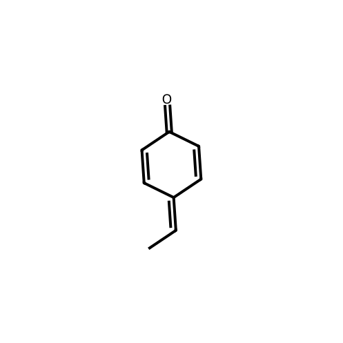 CC=C1C=CC(=O)C=C1